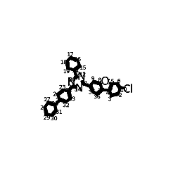 Clc1ccc2c(c1)oc1cc(-c3nc(-c4ccccc4)nc(-c4ccc(-c5ccccc5)cc4)n3)ccc12